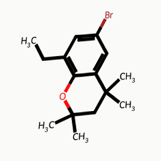 CCc1cc(Br)cc2c1OC(C)(C)CC2(C)C